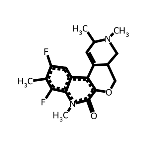 Cc1c(F)cc2c3c(c(=O)n(C)c2c1F)OCC1CN(C)C(C)C=C31